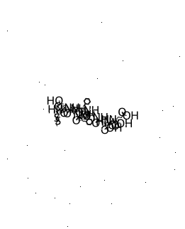 CCSSC[C@H](C)NC(=O)[C@H](CC(=O)O)NC(=O)[C@@H](N)CNC(=O)[C@H](Cc1ccccc1)NC(=O)[C@H](Cc1ccccc1)NC(=O)CCNC(=O)CC[C@H](NC(=O)N[C@@H](CCC(=O)O)C(=O)O)C(=O)O